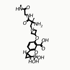 CNC(=O)CNC(=O)[C@](C)(N)CN1CC(Oc2ccc3c(c2C(=O)O)O[B-](O)(O)[C@@H]2C[C@H]32)C1